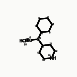 CCC(C)N(C1CCCCC1)C1CCNCC1.Cl